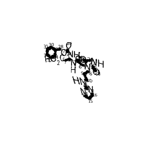 O=C(O)CC(NC(=O)C[N+]1(CCCNc2ncccn2)C(=O)CNC1=O)NC(=O)OCc1ccccc1